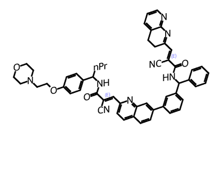 CCCC(NC(=O)/C(C#N)=C/c1ccc2ccc(-c3cccc(C(NC(=O)/C(C#N)=C/C4=Nc5ncccc5CC4)c4ccccc4)c3)cc2n1)c1ccc(OCCN2CCOCC2)cc1